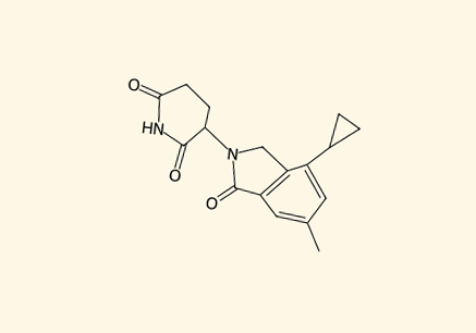 Cc1cc2c(c(C3CC3)c1)CN(C1CCC(=O)NC1=O)C2=O